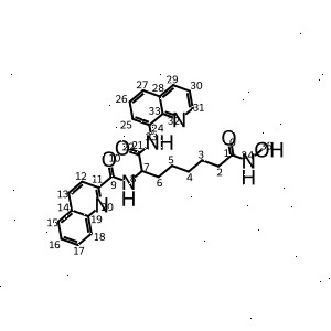 O=C(CCCCCC(NC(=O)c1ccc2ccccc2n1)C(=O)Nc1cccc2cccnc12)NO